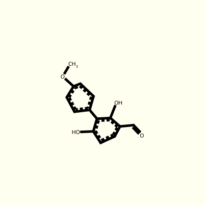 COc1ccc(-c2c(O)ccc(C=O)c2O)cc1